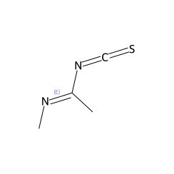 C/N=C(\C)N=C=S